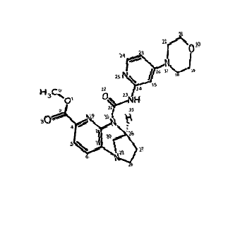 COC(=O)c1ccc2c(n1)N(C(=O)Nc1cc(N3CCOCC3)ccn1)[C@H]1CCN2C1